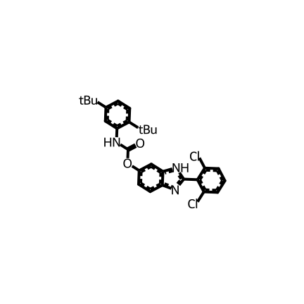 CC(C)(C)c1ccc(C(C)(C)C)c(NC(=O)Oc2ccc3nc(-c4c(Cl)cccc4Cl)[nH]c3c2)c1